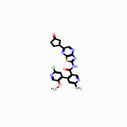 COc1cnc(Cl)cc1-c1cc(C)ncc1C(=O)Nc1nc2ncc(C3CCC(=O)C3)nc2s1